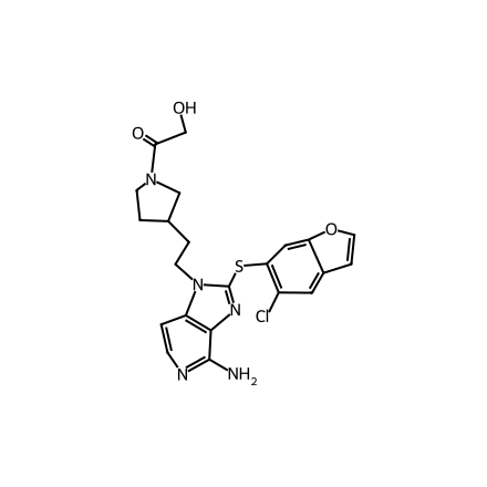 Nc1nccc2c1nc(Sc1cc3occc3cc1Cl)n2CCC1CCN(C(=O)CO)C1